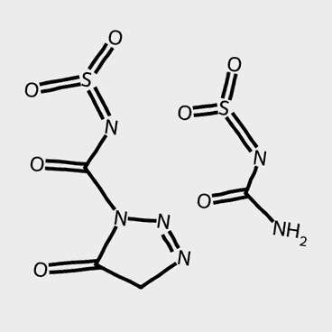 NC(=O)N=S(=O)=O.O=C1CN=NN1C(=O)N=S(=O)=O